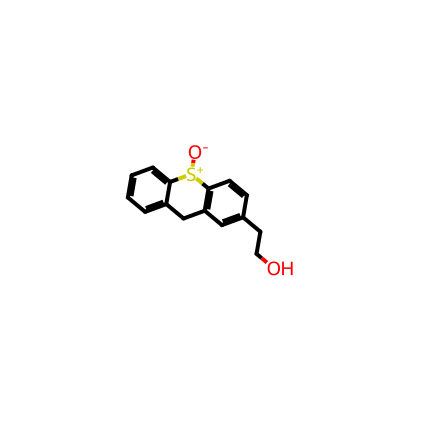 [O-][S+]1c2ccccc2Cc2cc(CCO)ccc21